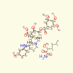 C=O.CCCCCS(N)(=O)=O.COC(=O)[C@H]1[C@H]2C[C@@H]3c4[nH]c5cc(OC)ccc5c4CCN3C[C@H]2C[C@@H](OC(=O)c2cc(OC)c(OC)c(OC)c2)[C@@H]1OC